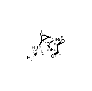 C=C.CC1CO1.CCCCOCCCC.O=CC=O